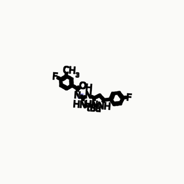 Cc1cc(C(=O)/N=C(\NC2CC(c3ccc(F)cc3)NN2)NC(C)(C)C)ccc1F